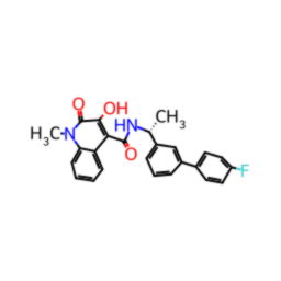 C[C@@H](NC(=O)c1c(O)c(=O)n(C)c2ccccc12)c1cccc(-c2ccc(F)cc2)c1